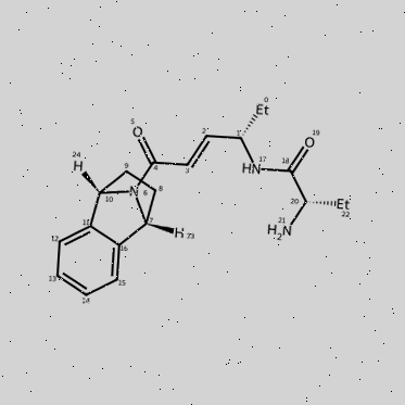 CC[C@@H](/C=C/C(=O)N1[C@@H]2CC[C@H]1c1ccccc12)NC(=O)[C@@H](N)CC